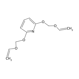 C=COCOc1cccc(OCOC=C)n1